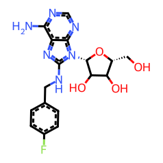 Nc1ncnc2c1nc(NCc1ccc(F)cc1)n2[C@@H]1O[C@H](CO)C(O)C1O